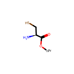 CCCOC(=O)[C@@H](N)CS